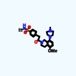 CCNS(=O)(=O)c1ccc(CC(=O)N2CCc3c(OC)ccc(N4CCN(C)CC4)c3C2)cc1